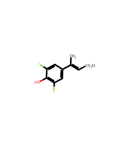 CCOC(=O)/C=C(\C)c1cc(F)c(O)c(F)c1